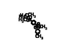 CN1CCC(N(C)S(=O)(=O)c2ccc(B3OC(C)(C)C(C)(C)O3)cc2)CC1